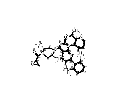 Cc1ccnc(C(C)C)c1-n1c(=O)nc(N2C[C@@H](C)N(C(=O)C3CO3)C[C@@H]2C)c2cc(Cl)c(-c3c(N)cccc3F)nc21